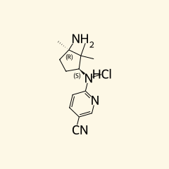 CN(c1ccc(C#N)cn1)[C@H]1CC[C@@](C)(N)C1(C)C.Cl